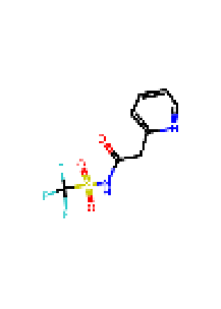 O=C(Cc1ccccn1)NS(=O)(=O)C(F)(F)F